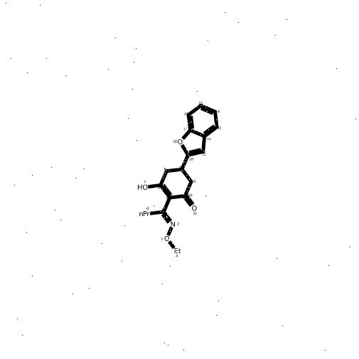 CCCC(=NOCC)C1=C(O)CC(c2cc3ccccc3o2)CC1=O